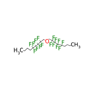 CCCCC(F)(F)C(F)(F)C(F)(F)C(F)(F)COCC(F)(F)C(F)(F)C(F)(F)C(F)(F)CCCC